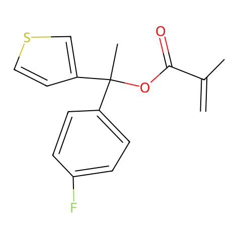 C=C(C)C(=O)OC(C)(c1ccc(F)cc1)c1ccsc1